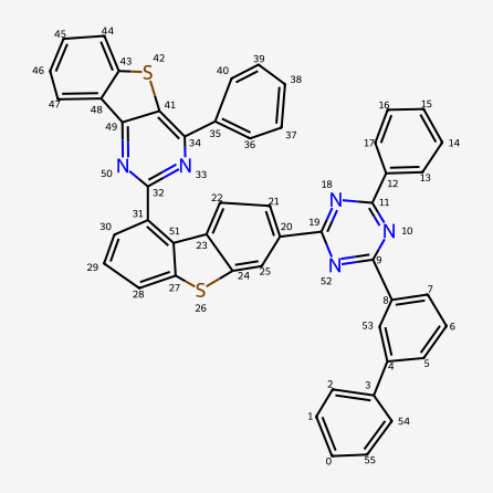 c1ccc(-c2cccc(-c3nc(-c4ccccc4)nc(-c4ccc5c(c4)sc4cccc(-c6nc(-c7ccccc7)c7sc8ccccc8c7n6)c45)n3)c2)cc1